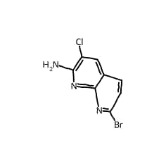 Nc1nc2nc(Br)ccc2cc1Cl